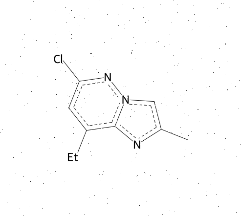 CCc1cc(Cl)nn2cc(C)nc12